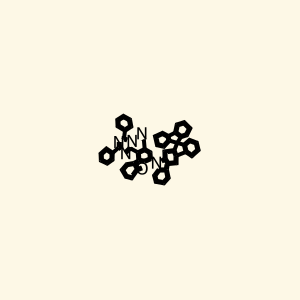 N#Cc1cc(-n2c3ccccc3c3cc4c(cc32)C2(c3ccccc3-c3ccccc32)c2ccccc2-4)c2oc3ccccc3c2c1-c1nc(-c2ccccc2)nc(-c2ccccc2)n1